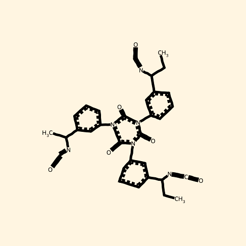 CCC(N=C=O)c1cccc(-n2c(=O)n(-c3cccc(C(C)N=C=O)c3)c(=O)n(-c3cccc(C(CC)N=C=O)c3)c2=O)c1